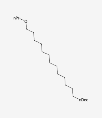 [CH2]CCCCCCCCCCCCCCCCCCCCCCOCCC